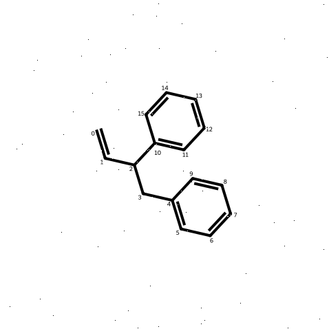 C=CC(Cc1ccccc1)c1ccccc1